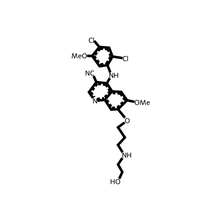 COc1cc(Nc2c(C#N)cnc3cc(OCCCNCCO)c(OC)cc23)c(Cl)cc1Cl